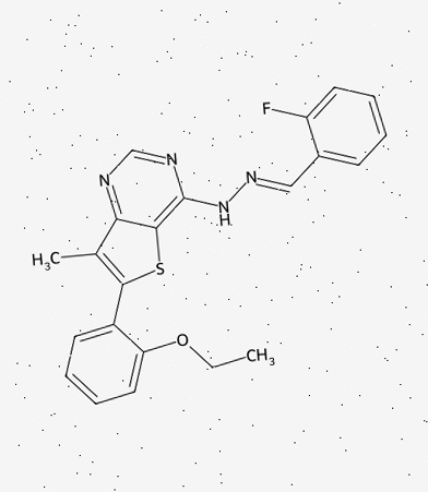 CCOc1ccccc1-c1sc2c(N/N=C/c3ccccc3F)ncnc2c1C